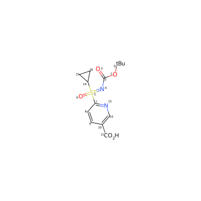 CC(C)(C)OC(=O)N=S(=O)(c1ccc(C(=O)O)cn1)C1CC1